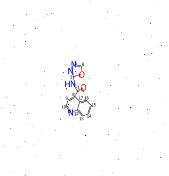 O=C(Nc1nnco1)c1ccnc2ccccc12